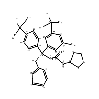 O=C(NC1CCCC1)N[C@@](Cc1ccccc1)(c1ccc(C(F)(F)F)nc1)c1cc(F)cc(C(F)(F)F)c1